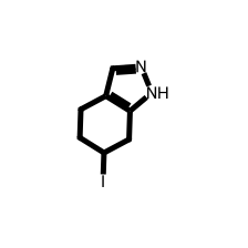 IC1CCc2cn[nH]c2C1